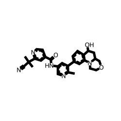 Cc1ncc(NC(=O)c2ccnc(C(C)(C)C#N)c2)cc1-c1ccc2c(c1)N1CCOCC1CC2O